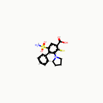 NS(=O)(=O)c1cc(C(=O)O)c(S)c(N2CCCC2)c1-c1ccccc1